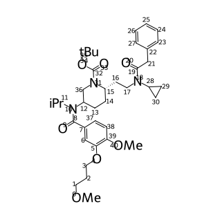 COCCCOc1cc(C(=O)N(C(C)C)C2CC[C@@H](CCN(C(=O)Cc3ccccc3)C3CC3)N(C(=O)OC(C)(C)C)C2)ccc1OC